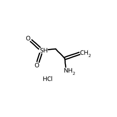 C=C(N)C[SH](=O)=O.Cl